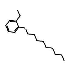 CCCCCCCCCOc1ccccc1CC